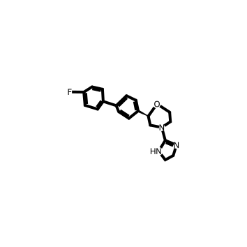 Fc1ccc(-c2ccc([C@@H]3CN(C4=NCCN4)CCO3)cc2)cc1